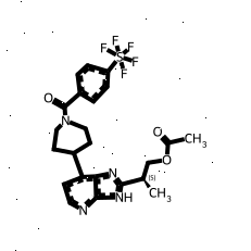 CC(=O)OC[C@@H](C)c1nc2c(C3CCN(C(=O)c4ccc(S(F)(F)(F)(F)F)cc4)CC3)ccnc2[nH]1